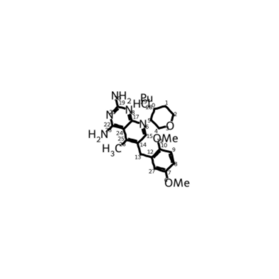 C1CCOCC1.COc1ccc(OC)c(Cc2cnc3nc(N)nc(N)c3c2C)c1.Cl.[Pu]